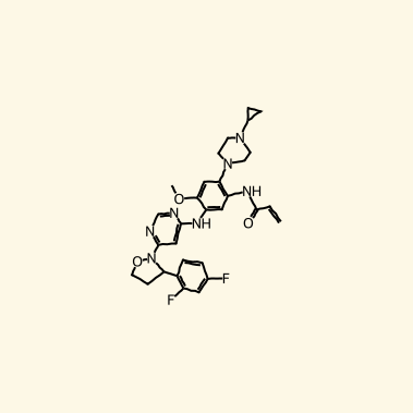 C=CC(=O)Nc1cc(Nc2cc(N3OCCC3c3ccc(F)cc3F)ncn2)c(OC)cc1N1CCN(C2CC2)CC1